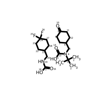 CC(C)(C)N(CC1CCC(=O)CC1)C(=O)O.O=C(O)NCC1CCC(F)(F)CC1